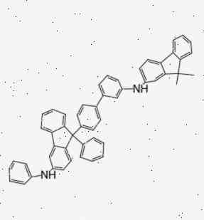 CC1(C)c2ccccc2-c2ccc(Nc3cccc(-c4ccc(C5(c6ccccc6)c6ccccc6-c6cc(Nc7ccccc7)ccc65)cc4)c3)cc21